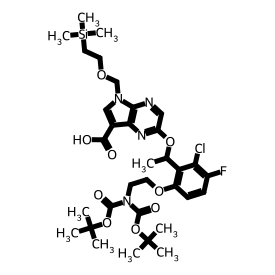 CC(Oc1cnc2c(n1)c(C(=O)O)cn2COCC[Si](C)(C)C)c1c(OCCN(C(=O)OC(C)(C)C)C(=O)OC(C)(C)C)ccc(F)c1Cl